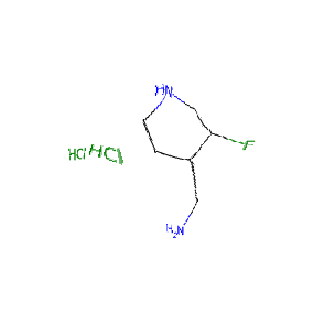 Cl.Cl.NCC1CCNCC1F